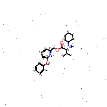 CC(C)C(NC1CCCCC1)C(=O)OCc1cccc(Oc2ccccc2)n1